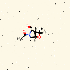 CC(=O)N1C[C@@H]2OC(C)(C)[C@@H]2[C@H]1C=O